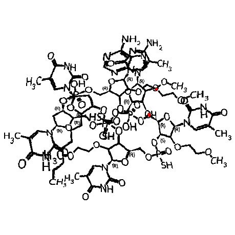 CCCCCCC[C@H]1O[C@@H](n2cc(C)c(=O)[nH]c2=O)CC1OP(=O)(S)OC[C@H]1O[C@@H](n2cc(C)c(=O)[nH]c2=O)C[C@H]1OP(=O)(O)OC[C@H]1O[C@@H](n2cc(C)c(N)nc2=O)C(OCCOC)C1OP(=O)(O)OC[C@H]1O[C@@H](n2cc(C)c(=O)[nH]c2=O)C(OCCOC)[C@H]1OP(=O)(S)OC[C@H]1O[C@@H](n2cc(C)c(=O)[nH]c2=O)C(OCCOC)C1OP(=O)(S)OC[C@H]1O[C@@H](n2cnc3c(N)ncnc32)C(OCCOC)C1O